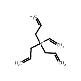 C=CC[N+](C=C)(CC=C)CC=C